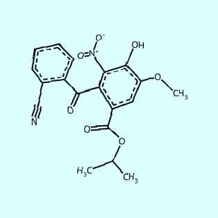 COc1cc(C(=O)OC(C)C)c(C(=O)c2ccccc2C#N)c([N+](=O)[O-])c1O